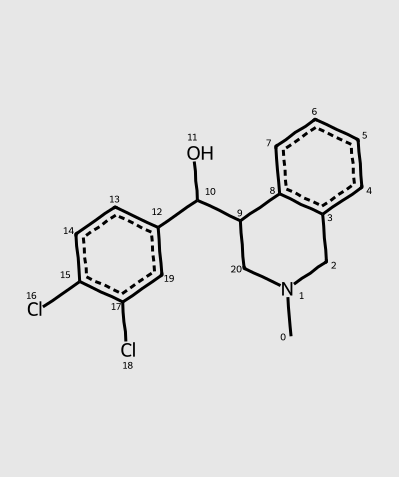 CN1Cc2ccccc2C(C(O)c2ccc(Cl)c(Cl)c2)C1